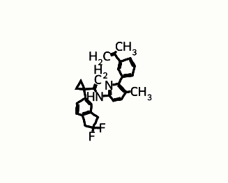 C=C(C)c1cccc(-c2nc(NC(=C)C3(c4ccc5c(c4)CC(F)(F)C5)CC3)ccc2C)c1